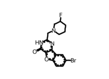 O=c1[nH]c(CN2CCCC(F)C2)nc2c1oc1ccc(Br)cc12